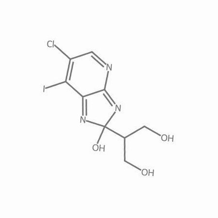 OCC(CO)C1(O)N=c2ncc(Cl)c(I)c2=N1